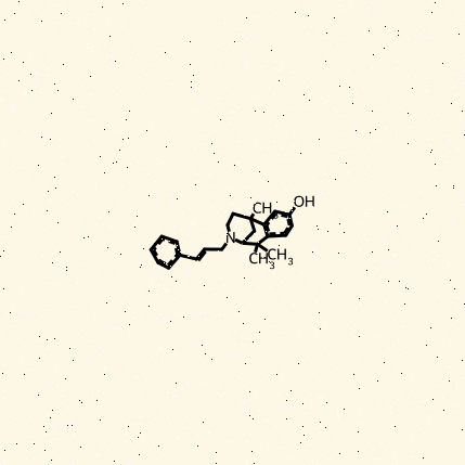 CC12CCN(C/C=C/c3ccccc3)C(C1)C(C)(C)c1ccc(O)cc12